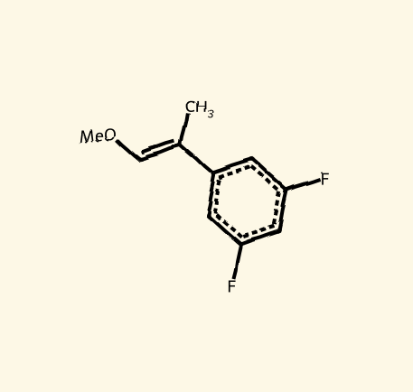 COC=C(C)c1cc(F)cc(F)c1